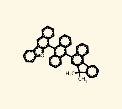 CC1(C)c2ccccc2-c2c1cc(-c1c3ccccc3c(-c3c4ccccc4cc4c3oc3ccccc34)c3ccccc13)c1ccccc21